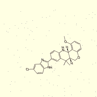 COc1cccc2c1[C@H]1Nc3ccc(-c4nc5cc(Cl)ccc5[nH]4)cc3C(C)(C)[C@H]1CO2